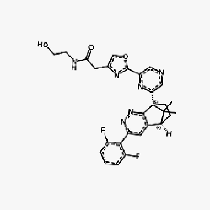 CC1(C)[C@H]2CC[C@]1(c1cncc(-c3nc(CC(=O)NCCO)co3)n1)c1nnc(-c3c(F)cccc3F)cc12